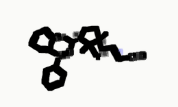 C[C@@H](/C=C/C=O)[C@@]1(C)CC[C@@H](C(O[SiH](c2ccccc2)c2ccccc2)C(C)(C)C)C1(C)C